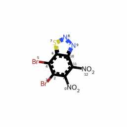 O=[N+]([O-])c1c(Br)c(Br)c2snnc2c1[N+](=O)[O-]